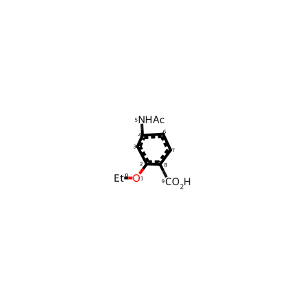 CCOc1cc(NC(C)=O)ccc1C(=O)O